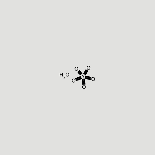 O.[O]=[Y](=[O])(=[O])(=[O])=[O]